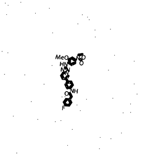 COc1cc(N2CCOC2=O)ccc1Nc1nc2ccc(-c3ccc(NC(=O)Cc4ccc(F)cc4)cc3)cn2n1